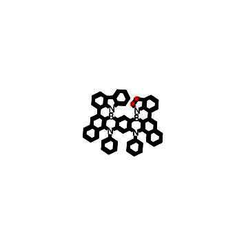 c1ccc(N2c3cc4c(cc3B3c5c(cc6ccccc6c52)-c2cccc5c6ccccc6n3c25)B2c3c(cc5ccccc5c3N4c3ccccc3)-c3cccc4c5ccccc5n2c34)cc1